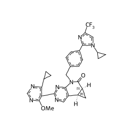 COc1ncnc(C2CC2)c1-c1ncc2c(n1)N(Cc1ccc(-c3nc(C(F)(F)F)cn3C3CC3)cc1)C(=O)[C@H]1C[C@@H]21